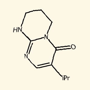 CC(C)c1cnc2n(c1=O)CCCN2